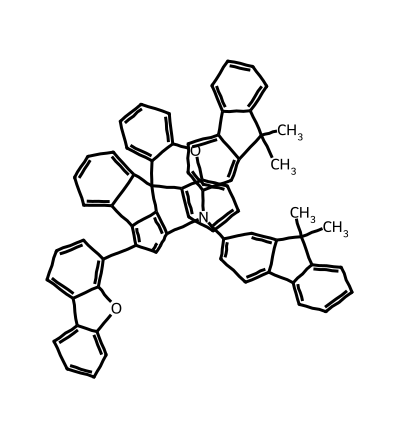 CC1(C)c2ccccc2-c2ccc(N(c3ccc4c(c3)C(C)(C)c3ccccc3-4)c3ccc(-c4cccc5c4oc4ccccc45)c4c3C3(c5ccccc5Oc5ccccc53)c3ccccc3-4)cc21